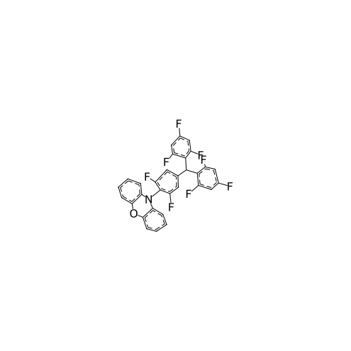 Fc1cc(F)c(C(c2cc(F)c(N3c4ccccc4Oc4ccccc43)c(F)c2)c2c(F)cc(F)cc2F)c(F)c1